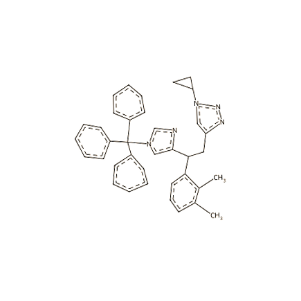 Cc1cccc(C(Cc2cn(C3CC3)nn2)c2cn(C(c3ccccc3)(c3ccccc3)c3ccccc3)cn2)c1C